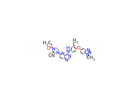 C=CC(=O)N1CCN(c2ccc3ncnc(Nc4ccc(Oc5ccc6c(c5)nnn6C)c(C)c4)c3n2)C[C@@H]1CC#N